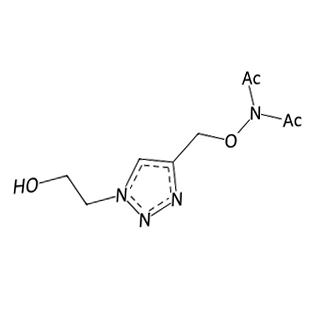 CC(=O)N(OCc1cn(CCO)nn1)C(C)=O